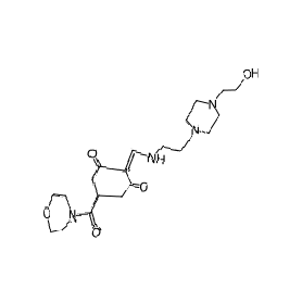 O=C1CC(C(=O)N2CCOCC2)CC(=O)C1=CNCCN1CCN(CCO)CC1